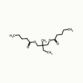 CCCCC(=O)OCC(C)(CC)COC(=O)CCCC